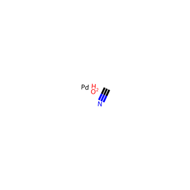 C#N.O.[Pd]